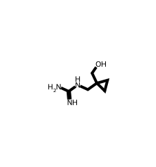 N=C(N)NCC1(CO)CC1